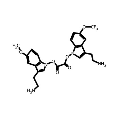 NCCc1cn(OC(=O)C(=O)On2cc(CCN)c3cc(OC(F)(F)F)ccc32)c2ccc(OC(F)(F)F)cc12